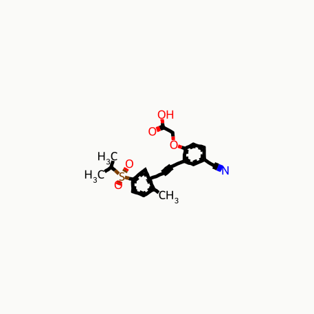 Cc1ccc(S(=O)(=O)C(C)C)cc1C#Cc1cc(C#N)ccc1OCC(=O)O